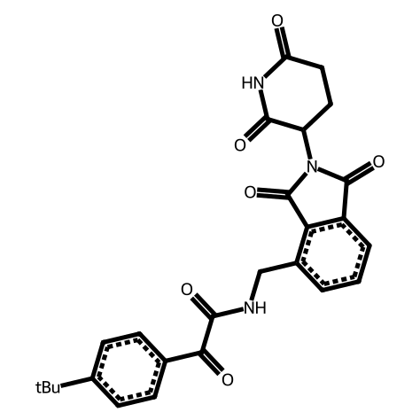 CC(C)(C)c1ccc(C(=O)C(=O)NCc2cccc3c2C(=O)N(C2CCC(=O)NC2=O)C3=O)cc1